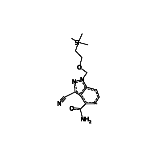 C[Si](C)(C)CCOCn1nc(C#N)c2c(C(N)=O)[c]ccc21